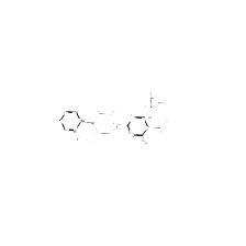 COc1ccccc1C1CCN(c2nc(C)c(CC(=O)O)c(C3CC3)n2)CC1